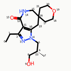 CCc1nn(C[C@H](C)CO)c2c1C(=O)NCC1(CCOCC1)C2